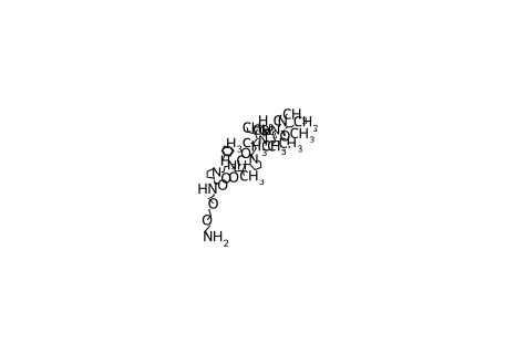 CCC(C)C(C(C)CC(=O)N1CCCC1C(C)C(C)C(=O)N[C@@H](Cc1ccccc1)C(=O)N1CCC[C@@H]1C(=O)NCCOCCOCCN)N(C)C(=O)[C@@H](NC(=O)C(C(C)C)N(C)C)C(C)C